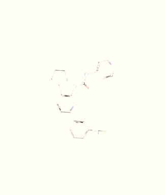 Cc1cnccc1NC(=O)N1c2nc(-c3cccc(C(F)(F)F)c3)ccc2C2CCCC21